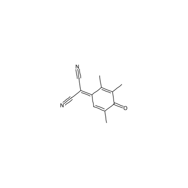 CC1=CC(=C(C#N)C#N)C(C)=C(C)C1=O